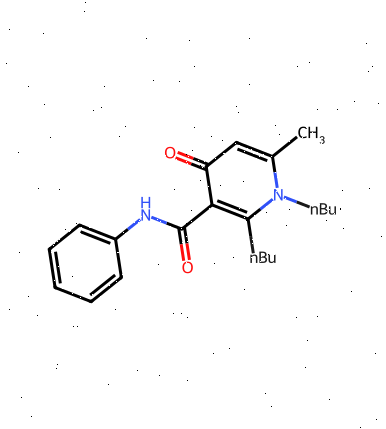 CCCCc1c(C(=O)Nc2ccccc2)c(=O)cc(C)n1CCCC